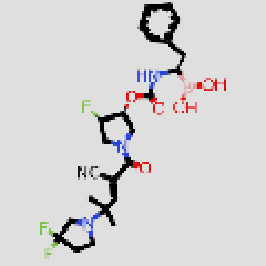 CC(C)(/C=C(\C#N)C(=O)N1C[C@@H](F)[C@H](OC(=O)N[C@@H](Cc2ccccc2)B(O)O)C1)N1CCC(F)(F)C1